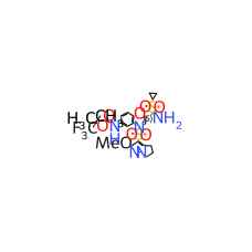 COc1nn2c(c1S(=O)(=O)N1C[C@@H](C(N)S(=O)(=O)C3CC3)Oc3ccc(NC(=O)OC(C)(C)C(F)(F)F)cc31)CCC2